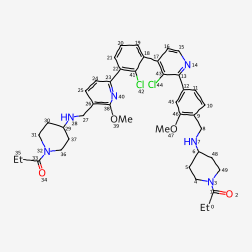 CCC(=O)N1CCC(NCc2ccc(-c3nccc(-c4cccc(-c5ccc(CNC6CCN(C(=O)CC)CC6)c(OC)n5)c4Cl)c3Cl)cc2OC)CC1